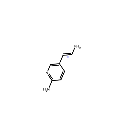 N/C=C/c1ccc(N)nc1